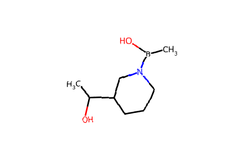 CB(O)N1CCCC(C(C)O)C1